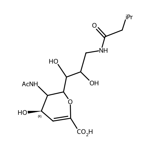 CC(=O)NC1C(C(O)C(O)CNC(=O)CC(C)C)OC(C(=O)O)=C[C@H]1O